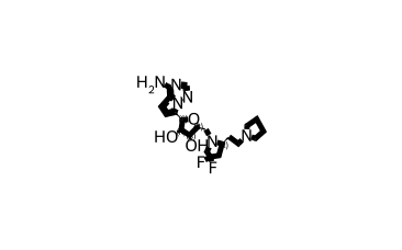 Nc1ncnn2c([C@@H]3O[C@H](CN4CC(F)(F)C[C@H]4CCN4CCCC4)[C@@H](O)[C@H]3O)ccc12